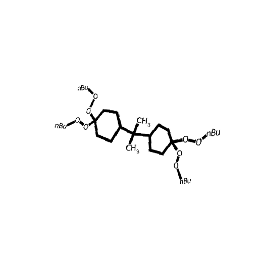 CCCCOOC1(OOCCCC)CCC(C(C)(C)C2CCC(OOCCCC)(OOCCCC)CC2)CC1